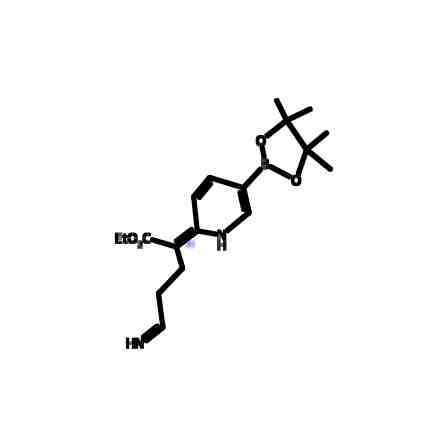 CCOC(=O)/C(CCC=N)=C1\C=CC(B2OC(C)(C)C(C)(C)O2)=CN1